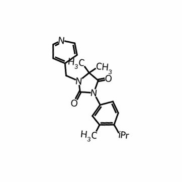 Cc1cc(N2C(=O)N(Cc3ccncc3)C(C)(C)C2=O)ccc1C(C)C